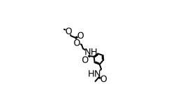 COCC(=O)OCCNC(=O)c1cccc(CNC(C)=O)c1